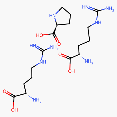 N=C(N)NCCC[C@H](N)C(=O)O.N=C(N)NCCC[C@H](N)C(=O)O.O=C(O)[C@@H]1CCCN1